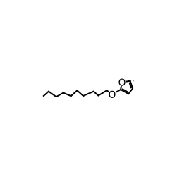 CCCCCCCCCCOc1cc[c]o1